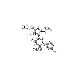 CCOC(=O)c1cc(CC(F)(F)F)c2n1CCc1cc(OC)c(-c3nnn(C)n3)cc1-2